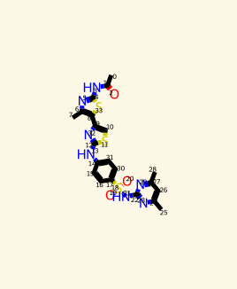 CC(=O)Nc1nc(C)c(-c2csc(Nc3ccc(S(=O)(=O)Nc4nc(C)cc(C)n4)cc3)n2)s1